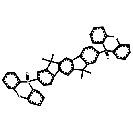 CC1(C)c2cc(P3(=O)c4ccccc4Oc4ccccc43)ccc2-c2cc3c(cc21)-c1ccc(P2(=O)c4ccccc4Oc4ccccc42)cc1C3(C)C